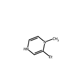 CCC1=CNC=CN1C